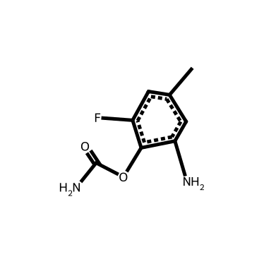 Cc1cc(N)c(OC(N)=O)c(F)c1